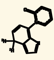 [2H]C1([2H])C=CC(n2ccccc2=O)=C2N=CC=C21